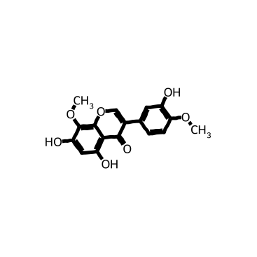 COc1ccc(-c2coc3c(OC)c(O)cc(O)c3c2=O)cc1O